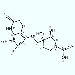 O=C1CCc2c(OCC3(O)CCN(C(=O)O)CC3O)cc(F)c(F)c2N1